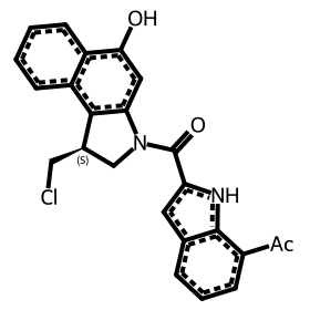 CC(=O)c1cccc2cc(C(=O)N3C[C@@H](CCl)c4c3cc(O)c3ccccc43)[nH]c12